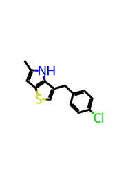 Cc1cc2scc(Cc3ccc(Cl)cc3)c2[nH]1